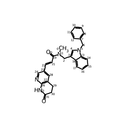 CN(Cc1cn(Cc2ccccc2)c2ccccc12)C(=O)C=Cc1cnc2c(c1)CCC(=O)N2